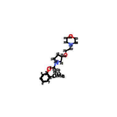 CCC(Oc1ccccc1OC)N1CCC(OCCN2CCOCC2)C1